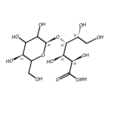 COC(=O)[C@H](O)[C@@H](O)[C@H](O[C@H]1OC(CO)[C@@H](O)C(O)C1O)[C@H](O)CO